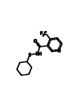 O=C(NSC1CCCCC1)c1cnccc1C(F)(F)F